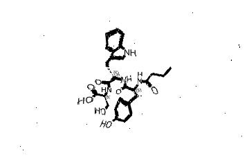 CCCC(=O)N[C@@H](Cc1ccc(O)cc1)C(=O)N[C@@H](Cc1c[nH]c2ccccc12)C(=O)N[C@@H](CO)C(=O)O